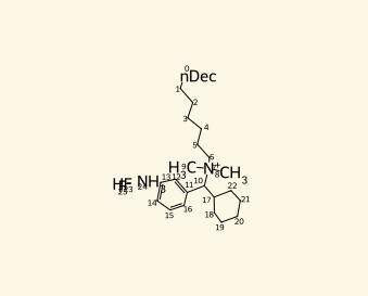 CCCCCCCCCCCCCCCC[N+](C)(C)C(c1ccccc1)C1CCCCC1.F.N.[F-]